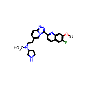 CCOc1cc2nc(-c3nnc4ccc(CCN(C(=O)O)[C@H]5CCNC5)cn34)ccc2cc1F